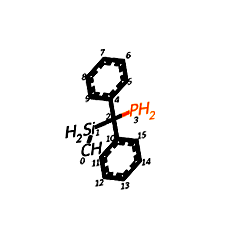 C[SiH2]C(P)(c1ccccc1)c1ccccc1